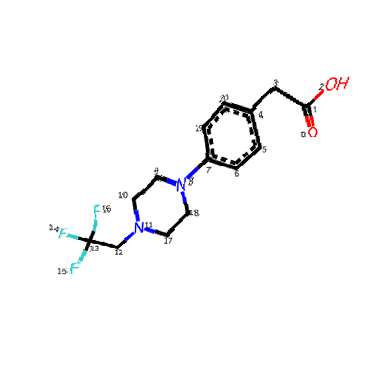 O=C(O)Cc1ccc(N2CCN(CC(F)(F)F)CC2)cc1